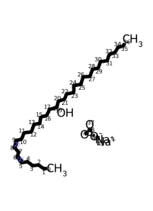 CCCCC/C=C\C/C=C\CCCCCCCCC(O)CCCCCCCCCCCCCCCCC.O=S([O-])[O-].[Na+].[Na+]